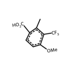 COc1ccc(C(=O)O)c(C)c1C(F)(F)F